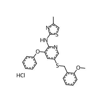 COc1ccccc1CSc1cnc(Nc2nc(C)cs2)c(Oc2ccccc2)c1.Cl